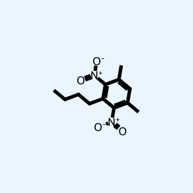 CCCCc1c([N+](=O)[O-])c(C)cc(C)c1[N+](=O)[O-]